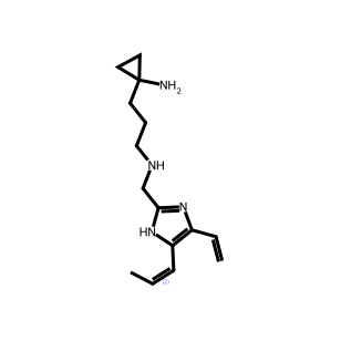 C=Cc1nc(CNCCCC2(N)CC2)[nH]c1/C=C\C